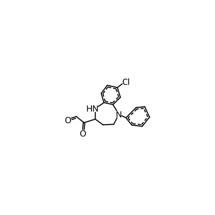 O=CC(=O)C1CCN(c2ccccc2)c2cc(Cl)ccc2N1